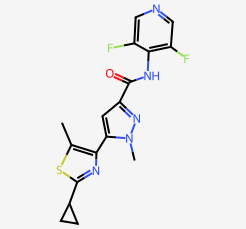 Cc1sc(C2CC2)nc1-c1cc(C(=O)Nc2c(F)cncc2F)nn1C